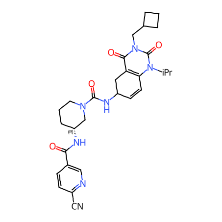 CC(C)n1c2c(c(=O)n(CC3CCC3)c1=O)CC(NC(=O)N1CCC[C@@H](NC(=O)c3ccc(C#N)nc3)C1)C=C2